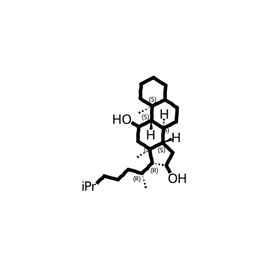 CC(C)CCC[C@@H](C)[C@H]1C(O)C[C@H]2[C@@H]3CCC4CCCC[C@]4(C)[C@H]3C(O)C[C@]12C